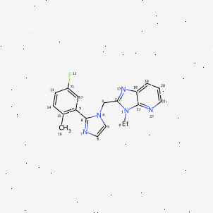 CCn1c(Cn2ccnc2-c2cc(F)ccc2C)nc2cccnc21